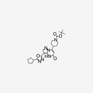 CC(C)(C)OC(=O)N1CCC(c2cc(=O)[nH]c3c(-c4nnc(C5CCCC5)o4)cnn23)CC1